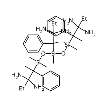 CCC(N)(N)C(C)(c1ccccc1)[Si](C)(C)O[Si](C)(O[Si](C)(C)C(C)(c1ccccc1)C(N)(N)CC)C(C)(c1ccccc1)C(N)(N)CC